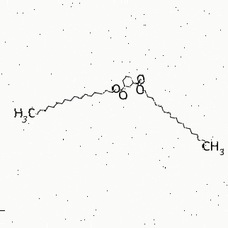 CCCCCCCCCCCCCCCCCCOC(=O)C1CCCC(C(=O)OCCCCCCCCCCCCCCCCCC)C1